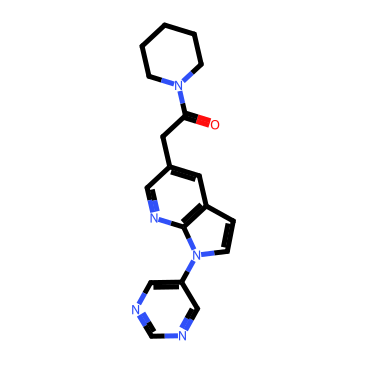 O=C(Cc1cnc2c(ccn2-c2cncnc2)c1)N1CCCCC1